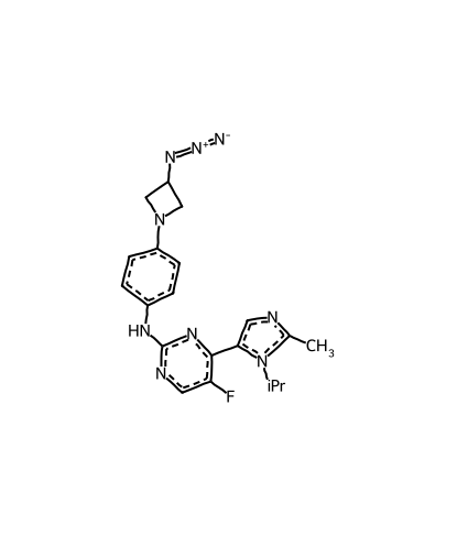 Cc1ncc(-c2nc(Nc3ccc(N4CC(N=[N+]=[N-])C4)cc3)ncc2F)n1C(C)C